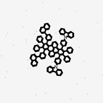 c1ccc(-c2c(-c3ccccc3)c(-c3ccc(-n4c5ccccc5c5ccccc54)cc3)c3c4cccc5c6c(-c7cccc(-c8cccc9ccccc89)c7)c(-c7ccccc7)c(-c7ccccc7)c(-c7cccc(-c8cccc9ccccc89)c7)c6c6cccc(c3c2-c2ccc(-n3c7ccccc7c7ccccc73)cc2)c6c45)cc1